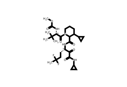 COC(=O)N[C@H](C(=O)N1CCCC(C2CC2)C1C(=O)N[C@@H](CCC(C)(F)F)C(=O)C(=O)NC1CC1)C(C)(C)C